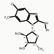 CC(=O)O[C@@H]1[C@H](OC(C)=O)[C@@H](C)O[C@H]1n1c(NC(C)C)nc2cc(Cl)c(C(F)(F)F)cc21